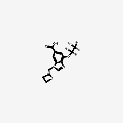 [2H]C([2H])([2H])C([2H])([2H])Oc1cc(C(=O)O)cc2c1ncn2C[C@@H]1CCO1